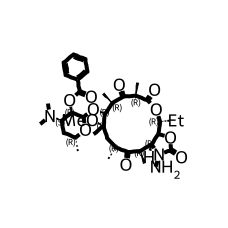 CC[C@H]1OC(=O)[C@H](C)C(=O)[C@H](C)[C@@H](OC2O[C@H](C)C[C@H](N(C)C)[C@H]2OC(=O)c2ccccc2)[C@@](C)(OC)C[C@@H](C)C(=O)[C@H](C)[C@@H]2C1OC(=O)N2N